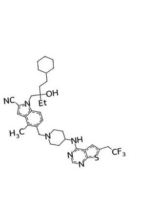 CCC(O)(CCC1CCCCC1)Cn1c(C#N)cc2c(C)c(CN3CCC(Nc4ncnc5sc(CC(F)(F)F)cc45)CC3)ccc21